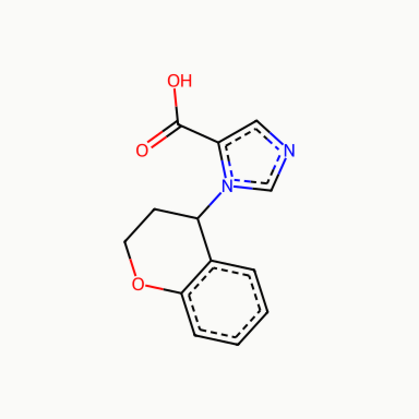 O=C(O)c1cncn1C1CCOc2ccccc21